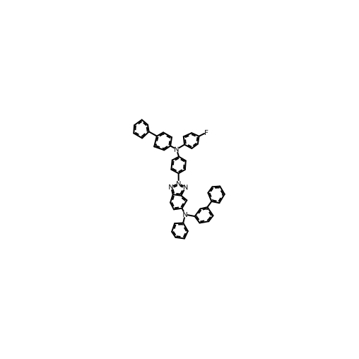 Fc1ccc(N(c2ccc(-c3ccccc3)cc2)c2ccc(-n3nc4ccc(N(c5ccccc5)c5cccc(-c6ccccc6)c5)cc4n3)cc2)cc1